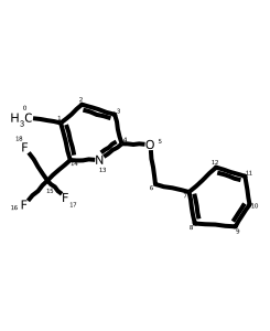 Cc1ccc(OCc2ccccc2)nc1C(F)(F)F